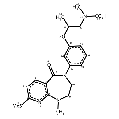 CSc1ncc2c(n1)N(C)CCN(c1cccc(OC(C)CN(C)C(=O)O)c1)C2=O